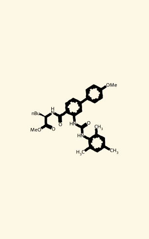 CCCC[C@@H](NC(=O)c1ccc(-c2ccc(OC)cc2)cc1NC(=O)Nc1c(C)cc(C)cc1C)C(=O)OC